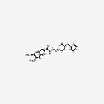 COc1cc2cc(C(=O)NCCN3CCC(Cc4ccccc4)CC3)[nH]c2cc1OC